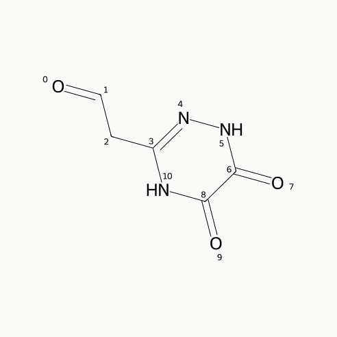 O=CCc1n[nH]c(=O)c(=O)[nH]1